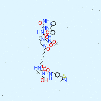 Cc1ncsc1-c1ccc(CNC(=O)[C@@H]2C[C@@H](O)CN2C(=O)[C@@H](NC(=O)CCCCCCCC(=O)N2CCC3=CC[C@@H](C(=O)N[C@@H](CCC(N)=O)C(=O)NC(c4ccccc4)c4ccccc4)N3C(=O)[C@@H](NC(=O)OC(C)(C)C)C2)C(C)(C)C)cc1